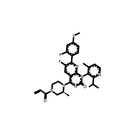 C=CC(=O)N1CCN(c2nc(=O)n(-c3c(C)ccnc3C(C)C)c3nc(-c4ccc(SC)cc4F)c(F)cc23)[C@@H](C)C1